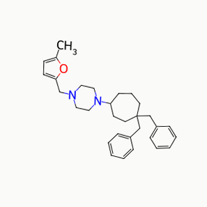 Cc1ccc(CN2CCN(C3CCCC(Cc4ccccc4)(Cc4ccccc4)CC3)CC2)o1